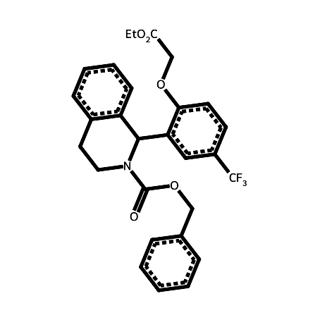 CCOC(=O)COc1ccc(C(F)(F)F)cc1C1c2ccccc2CCN1C(=O)OCc1ccccc1